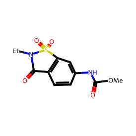 CCN1C(=O)c2ccc(NC(=O)OC)cc2S1(=O)=O